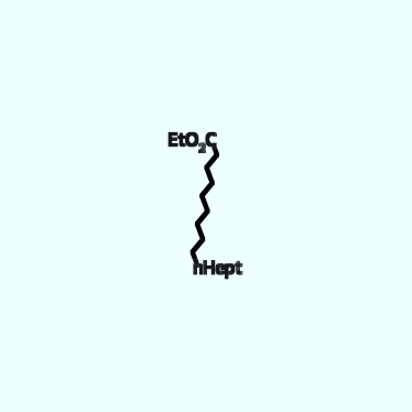 [CH2]COC(=O)CCCCCCCCCCCCCCC